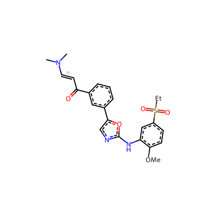 CCS(=O)(=O)c1ccc(OC)c(Nc2ncc(-c3cccc(C(=O)/C=C/N(C)C)c3)o2)c1